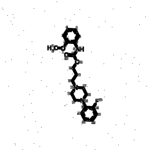 COc1ccccc1NC(=O)OCCCN1CCN(c2ccccc2F)CC1